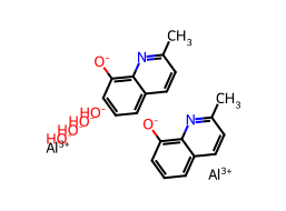 Cc1ccc2cccc([O-])c2n1.Cc1ccc2cccc([O-])c2n1.[Al+3].[Al+3].[OH-].[OH-].[OH-].[OH-]